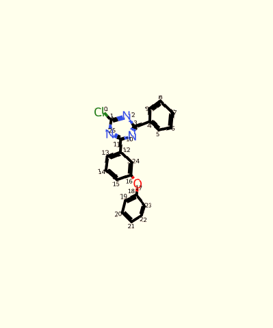 Clc1nc(-c2ccccc2)nc(-c2cccc(Oc3ccccc3)c2)n1